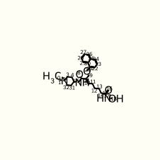 CCN1CCC(NC(=O)/C(=C/CCCCC(=O)NO)COc2cccc3ccccc23)CC1